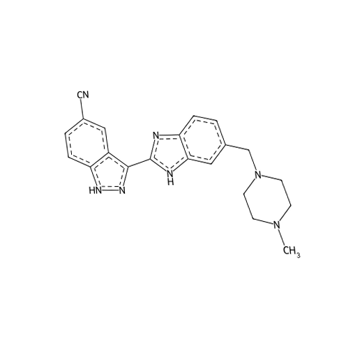 CN1CCN(Cc2ccc3nc(-c4n[nH]c5ccc(C#N)cc45)[nH]c3c2)CC1